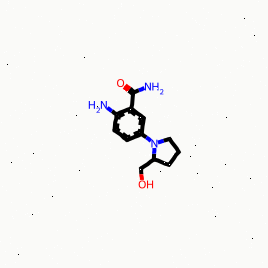 NC(=O)c1cc(N2CCCC2CO)ccc1N